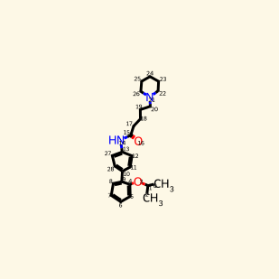 CC(C)Oc1ccccc1-c1ccc(NC(=O)CCCCN2CCCCC2)cc1